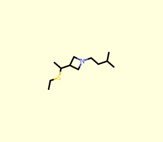 CCSC(C)C1CN(CCC(C)C)C1